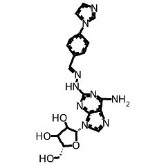 Nc1nc(N/N=C/c2ccc(-n3ccnc3)cc2)nc2c1ncn2[C@@H]1O[C@H](CO)C(O)C1O